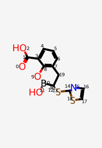 O=C(O)c1cccc2c1OB(O)[C@@H](Sc1nccs1)C2